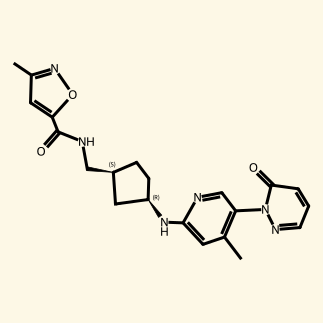 Cc1cc(C(=O)NC[C@H]2CC[C@@H](Nc3cc(C)c(-n4ncccc4=O)cn3)C2)on1